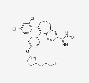 N=C(NO)c1ccc2c(c1)CCCC(c1ccc(Cl)cc1Cl)=C2c1ccc(O[C@H]2CCC(CCCF)C2)cc1